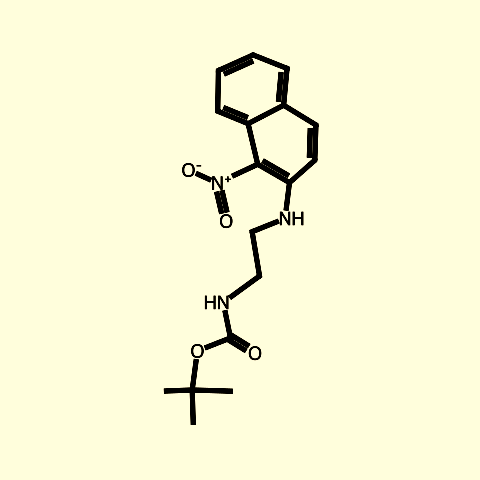 CC(C)(C)OC(=O)NCCNc1ccc2ccccc2c1[N+](=O)[O-]